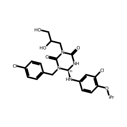 CC(C)Oc1ccc(N[C@@H]2NC(=O)N(CC(O)CO)C(=O)N2Cc2ccc(Cl)cc2)cc1Cl